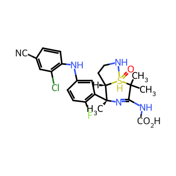 CC1(C)C(NC(=O)O)=N[C@](C)(c2cc(Nc3ccc(C#N)cc3Cl)ccc2F)[C@@H]2CCN[SH]21=O